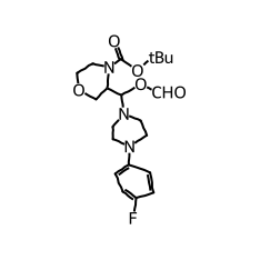 CC(C)(C)OC(=O)N1CCOCC1C(OC=O)N1CCN(c2ccc(F)cc2)CC1